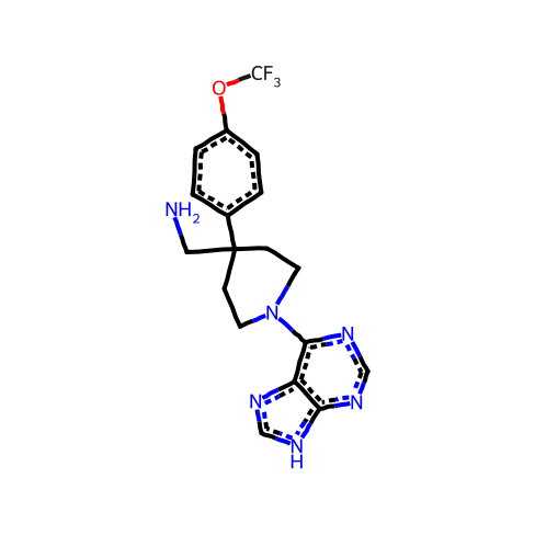 NCC1(c2ccc(OC(F)(F)F)cc2)CCN(c2ncnc3[nH]cnc23)CC1